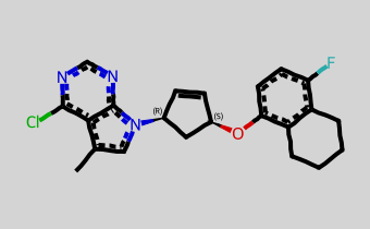 Cc1cn([C@H]2C=C[C@@H](Oc3ccc(F)c4c3CCCC4)C2)c2ncnc(Cl)c12